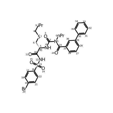 CCCN(C(=O)N[C@@H](CSCC(C)C)C(=O)NS(=O)(=O)c1ccc(Br)cc1)C(=O)c1cccc(-c2ccccc2)c1